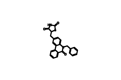 O=C1NC(=O)C(Cc2ccc3c(c2)c2ccccc2c(=O)n3Cc2ccccc2)S1